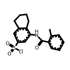 Cc1ccccc1C(=O)Nc1cc(S(=O)(=O)Cl)cc2c1CCCC2